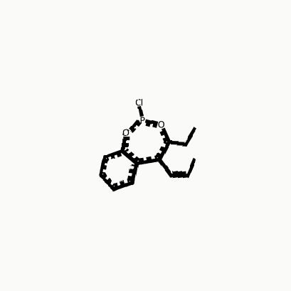 C/C=C\c1c(CC)op(Cl)oc2ccccc12